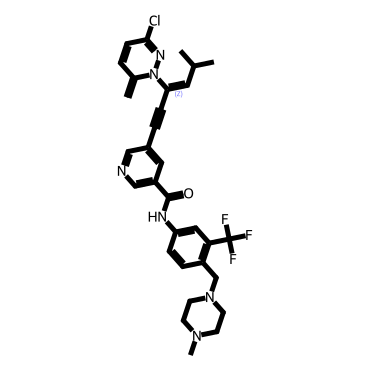 C=C1C=CC(Cl)=NN1/C(C#Cc1cncc(C(=O)Nc2ccc(CN3CCN(C)CC3)c(C(F)(F)F)c2)c1)=C\C(C)C